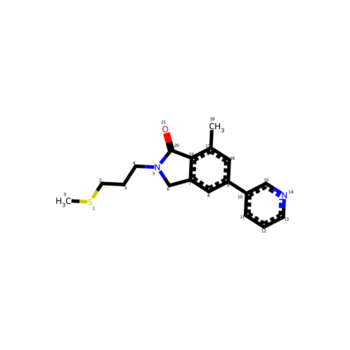 CSCCCN1Cc2cc(-c3cccnc3)cc(C)c2C1=O